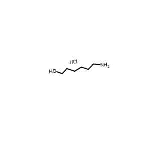 Cl.NCCCCCCO